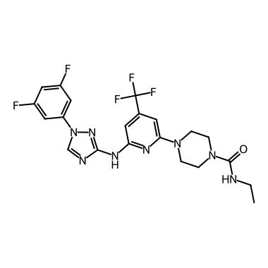 CCNC(=O)N1CCN(c2cc(C(F)(F)F)cc(Nc3ncn(-c4cc(F)cc(F)c4)n3)n2)CC1